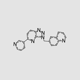 c1cncc(-c2ccc3nnn(Cc4ccc5ncccc5c4)c3n2)c1